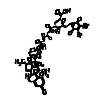 CCC(=O)O[C@]1(C(=O)COCNC(=O)CNC(=O)CNC(=O)[C@H](CCC(=O)O)NC(=O)CCN2C(=O)C(Br)=C(Br)C2=O)[C@@H](C)CC2[C@@H]3CCC4=CC(=O)C=C[C@]4(C)[C@@]3(Cl)[C@@H](O)C[C@@]21C